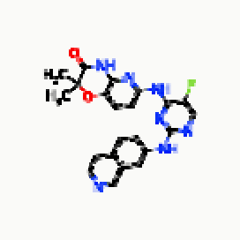 CC1(C)Oc2ccc(Nc3nc(Nc4ccc5ccncc5c4)ncc3F)nc2NC1=O